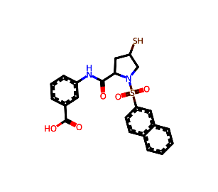 O=C(O)c1cccc(NC(=O)C2CC(S)CN2S(=O)(=O)c2ccc3ccccc3c2)c1